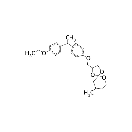 CCOc1ccc(C(C)c2ccc(OCC3COC4(CC(C)CCO4)O3)cc2)cc1